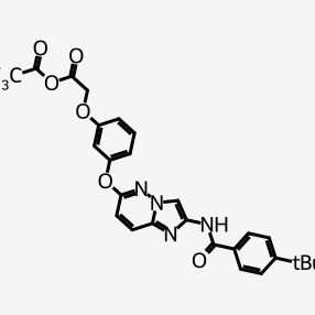 CC(C)(C)c1ccc(C(=O)Nc2cn3nc(Oc4cccc(OCC(=O)OC(=O)C(F)(F)F)c4)ccc3n2)cc1